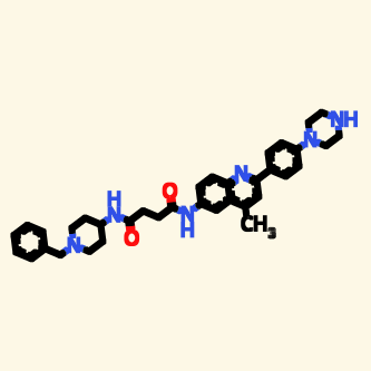 Cc1cc(-c2ccc(N3CCNCC3)cc2)nc2ccc(NC(=O)CCC(=O)NC3CCN(Cc4ccccc4)CC3)cc12